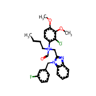 CCCC[N+](C=O)(Cc1nc2ccccc2n1Cc1cccc(F)c1)c1ccc(OC)c(OC)c1Cl